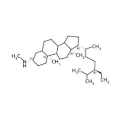 CC[C@H](CCC(C)[C@H]1CCC2C3CCC4C[C@@H](NC)CC[C@]4(C)C3CC[C@@]21C)C(C)C